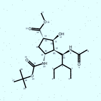 CCC(CC)[C@H](NC(C)=O)[C@@H]1[C@H](O)[C@@H](C(=O)OC)C[C@H]1NC(=O)OC(C)(C)C